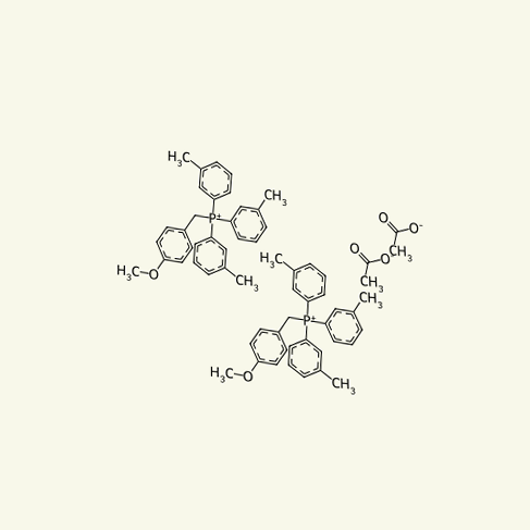 CC(=O)[O-].CC(=O)[O-].COc1ccc(C[P+](c2cccc(C)c2)(c2cccc(C)c2)c2cccc(C)c2)cc1.COc1ccc(C[P+](c2cccc(C)c2)(c2cccc(C)c2)c2cccc(C)c2)cc1